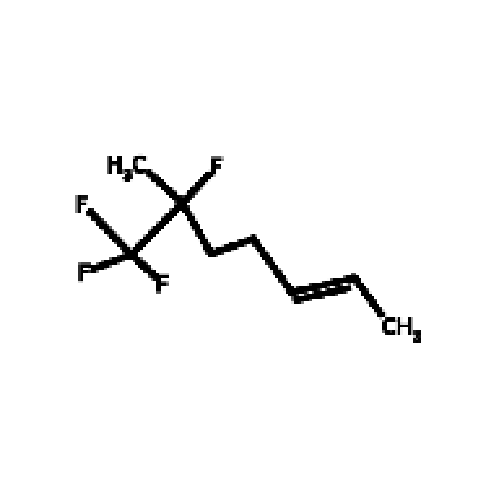 C/C=C/CCC(C)(F)C(F)(F)F